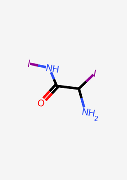 NC(I)C(=O)NI